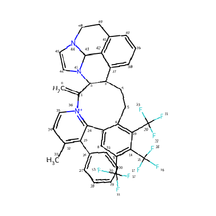 C=C1C2C(CCc3c(cc(C(F)(F)F)c(C(F)(F)F)c3C(F)(F)F)-c3c(-c4ccccc4)c(C)cc[n+]31)c1cccc3c1C1N(C=CN21)CC3